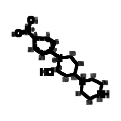 Cl.O=[N+]([O-])c1ccc(N2CCC(N3CCNCC3)CC2)cc1